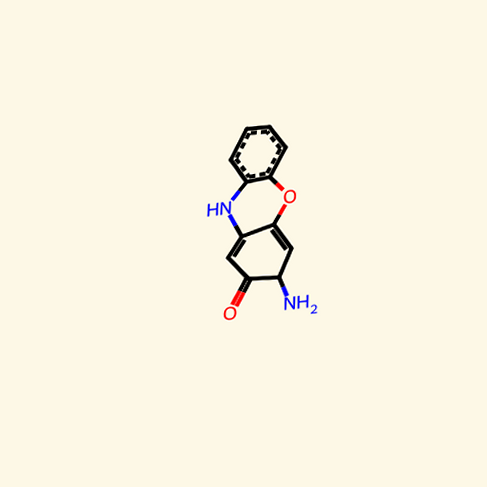 NC1C=C2Oc3ccccc3NC2=CC1=O